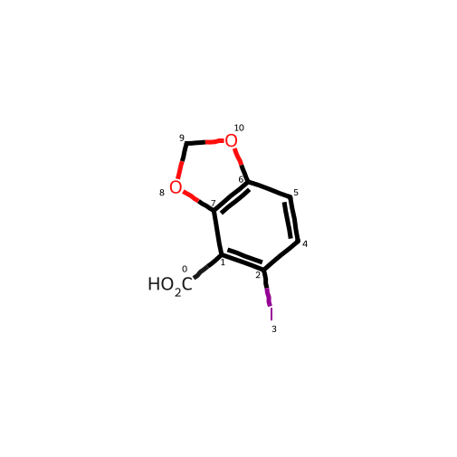 O=C(O)c1c(I)ccc2c1OCO2